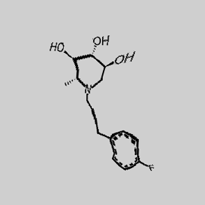 C[C@@H]1[C@@H](O)[C@H](O)[C@@H](O)CN1CCCc1ccc(F)cc1